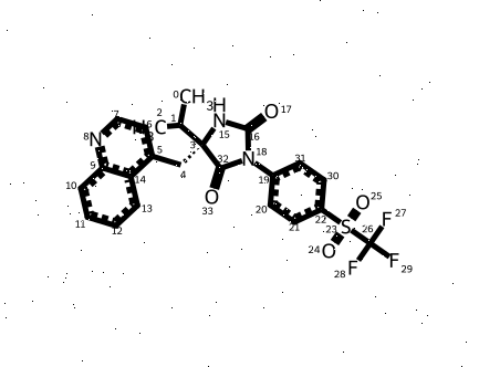 CC(C)[C@@]1(Cc2ccnc3ccccc23)NC(=O)N(c2ccc(S(=O)(=O)C(F)(F)F)cc2)C1=O